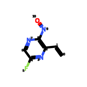 C=Cc1nc(F)cnc1N=O